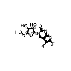 O=c1nc2[nH]c(F)c(F)c2cn1[C@@H]1O[C@H](CO)C(O)[C@@H]1O